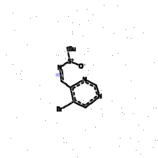 CC(C)(C)[S+]([O-])/N=C\c1ncncc1Br